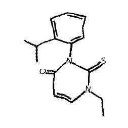 CCn1ccc(=O)n(-c2ccccc2C(C)C)c1=S